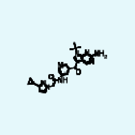 CC(C)(C)n1cc(C(=O)c2cncc(NC(=O)Cn3ccc(C4CC4)n3)c2)c2cnc(N)nc21